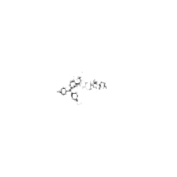 O=C(O)c1ccc(S(=O)(=O)N2CCC(Nc3cc(=O)[nH]c4ccc(C(c5ccc(Cl)cc5)c5ccc(Cl)cc5)cc34)CC2)o1